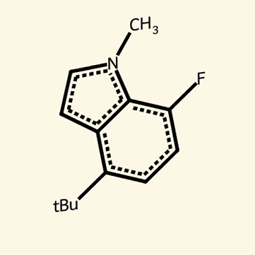 Cn1ccc2c(C(C)(C)C)ccc(F)c21